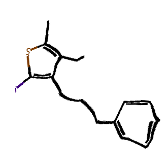 Cc1sc(I)c(CCCc2ccccc2)c1C